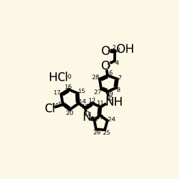 Cl.O=C(O)COc1ccc(Nc2cc(-c3cccc(Cl)c3)nc3c2CCC3)cc1